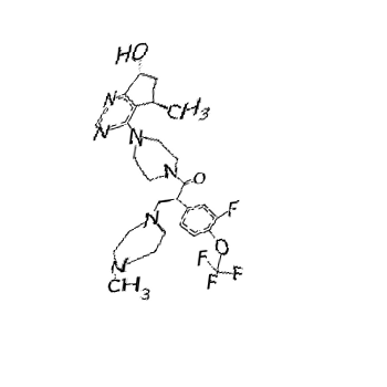 C[C@@H]1C[C@@H](O)c2ncnc(N3CCN(C(=O)[C@H](CN4CCN(C)CC4)c4ccc(OC(F)(F)F)c(F)c4)CC3)c21